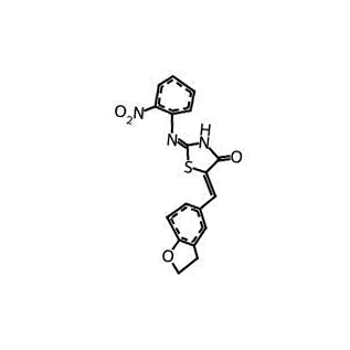 O=C1N/C(=N\c2ccccc2[N+](=O)[O-])S/C1=C\c1ccc2c(c1)CCO2